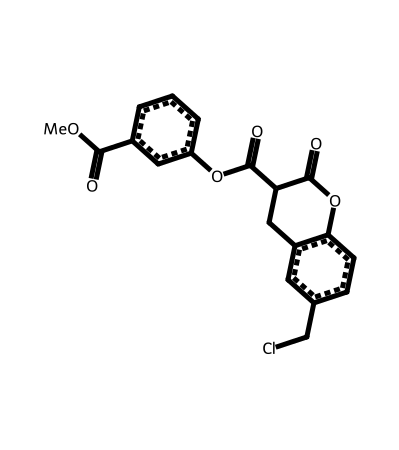 COC(=O)c1cccc(OC(=O)C2Cc3cc(CCl)ccc3OC2=O)c1